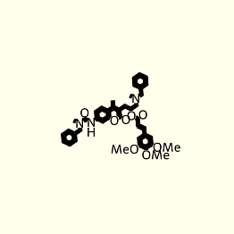 COc1cc(C=CC(=O)OC(Cc2c(C)c3ccc(NC(=O)N(C)Cc4ccccc4)cc3oc2=O)CN(C)Cc2ccccc2)cc(OC)c1OC